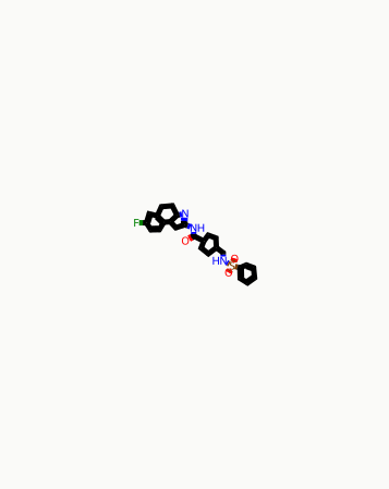 O=C(NC1=NC2CCc3cc(F)ccc3C2C1)C1CCC(CNS(=O)(=O)c2ccccc2)CC1